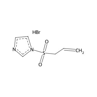 Br.C=CCS(=O)(=O)n1ccnc1